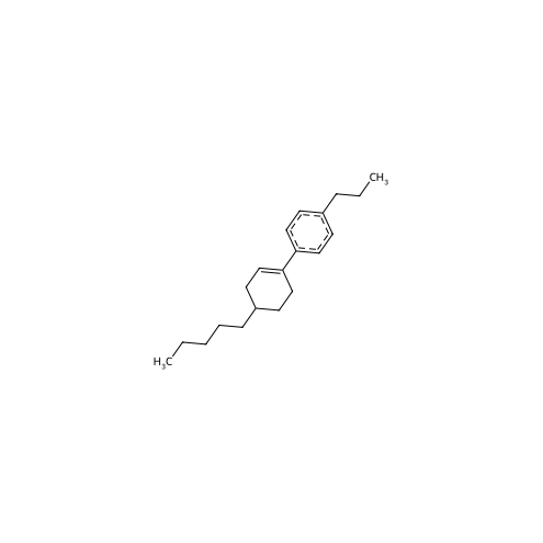 CCCCCC1CC=C(c2ccc(CCC)cc2)CC1